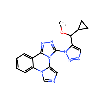 COC(c1cnnn1-c1nnc2c3ccccc3n3cncc3n12)C1CC1